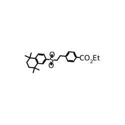 CCOC(=O)c1ccc(CCS(=O)(=O)c2ccc3c(c2)C(C)(C)CCC3(C)C)cc1